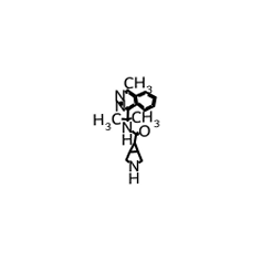 Cc1nnc(C(C)(C)NC(=O)C2C3CNCC32)c2ccccc12